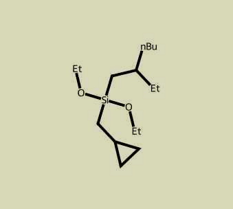 CCCCC(CC)C[Si](CC1CC1)(OCC)OCC